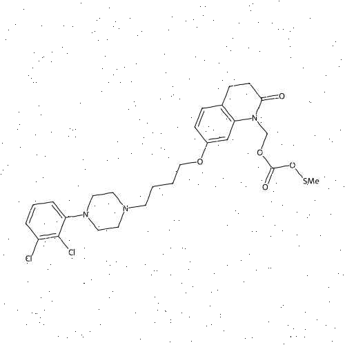 CSOC(=O)OCN1C(=O)CCc2ccc(OCCCCN3CCN(c4cccc(Cl)c4Cl)CC3)cc21